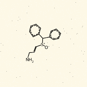 NCC=C[S+]([O-])C(c1ccccc1)c1ccccc1